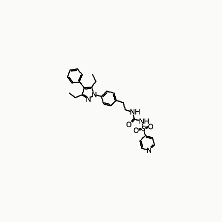 CCc1nn(-c2ccc(CCNC(=O)NS(=O)(=O)c3ccncc3)cc2)c(CC)c1-c1ccccc1